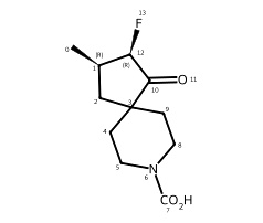 C[C@@H]1CC2(CCN(C(=O)O)CC2)C(=O)[C@@H]1F